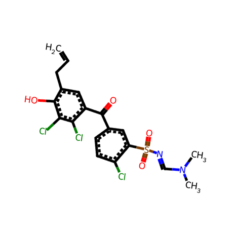 C=CCc1cc(C(=O)c2ccc(Cl)c(S(=O)(=O)N=CN(C)C)c2)c(Cl)c(Cl)c1O